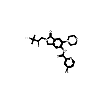 CC(C)(O)[C@H](F)CN1Cc2cc(NC(=O)c3cc(O)ccn3)c(N3CCOCC3)cc2C1=O